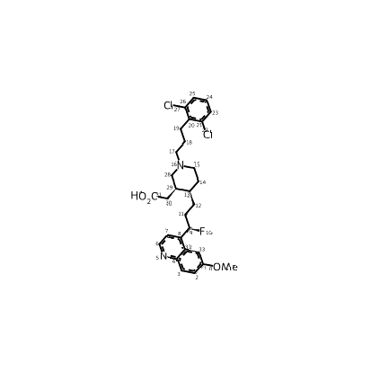 COc1ccc2nccc([C@H](F)CC[C@@H]3CCN(CCCc4c(Cl)cccc4Cl)C[C@@H]3CC(=O)O)c2c1